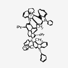 Cc1cc2c(c(C)c1N(c1cccc3c1CCCC3)c1cc(C(C)C)c3ccc4c(N(c5cccc6c5CCCC6)c5c(C)cc6c(c5C)c5ccccc5n6-c5ccccc5)cc(C(C)C)c5ccc1c3c54)c1ccccc1n2-c1ccccc1